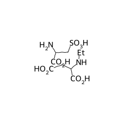 CCNC(CC(=O)O)C(=O)O.NC(CS(=O)(=O)O)C(=O)O